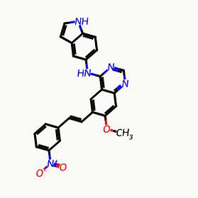 COc1cc2ncnc(Nc3ccc4[nH]ccc4c3)c2cc1C=Cc1cccc([N+](=O)[O-])c1